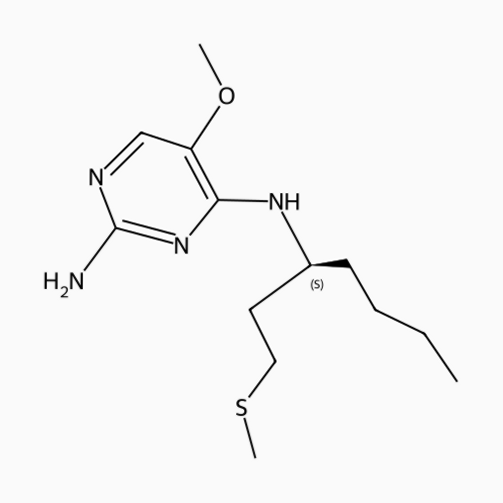 CCCC[C@@H](CCSC)Nc1nc(N)ncc1OC